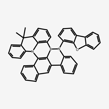 CC1(C)c2ccccc2N2c3c(cccc31)B1c3c(cc4ccccc4c32)-c2ccccc2N1c1cccc2c1oc1ccccc12